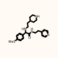 CSc1ccc(C(NCCC2CCNCC2)C(=O)NCCc2ccncc2)cc1